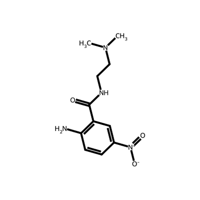 CN(C)CCNC(=O)c1cc([N+](=O)[O-])ccc1N